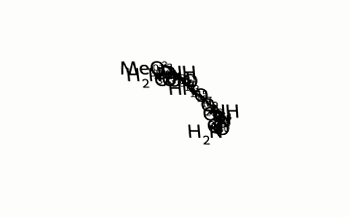 COc1ccc(NC(=O)CCC(=O)NCCOCCOCC(=O)Nc2nnc(S(N)(=O)=O)s2)c(O)c1C(N)=O